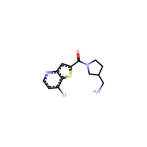 NCC1CCN(C(=O)c2cc3nccc(Cl)c3s2)C1